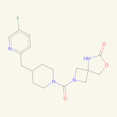 O=C1NC2(CO1)CN(C(=O)N1CCC(Cc3ccc(F)cn3)CC1)C2